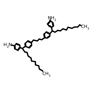 CCCCCCCCCCCC(c1ccc(N)cc1)c1ccc(CCCCc2ccc(C(CCCCCCCCCCC)c3ccc(N)cc3)cc2)cc1